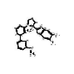 COc1cccc(C2[C]=C(N3CCC[C@@]3(C)c3nc4cc(C)c(C)cc4[nH]3)C=CC2)c1